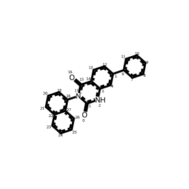 O=c1[nH]c2cc(-c3ccccc3)ccc2c(=O)n1-c1cccc2ccccc12